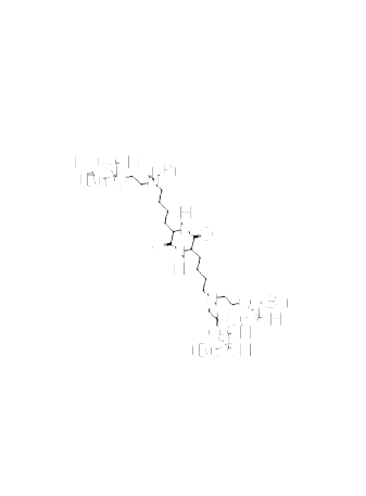 CCCN(CCCCC1NC(=O)C(CCCCN(CCO[Si](C)(C)C(C)(C)C)CCO[Si](C)(C)C(C)(C)C)NC1=O)CCO[Si](C)(C)C(C)(C)C